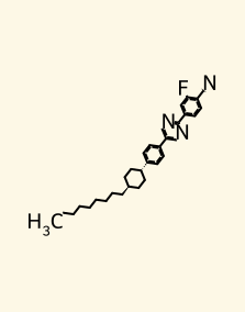 CCCCCCCCC[C@H]1CC[C@H](c2ccc(-c3cnc(-c4ccc(C#N)c(F)c4)nc3)cc2)CC1